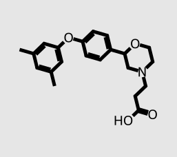 Cc1cc(C)cc(Oc2ccc(C3CN(CCC(=O)O)CCO3)cc2)c1